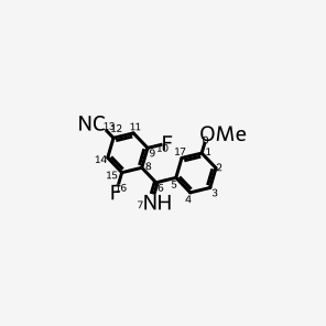 COc1cccc(C(=N)c2c(F)cc(C#N)cc2F)c1